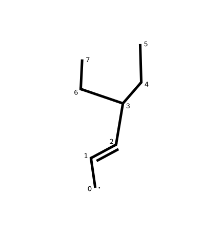 [CH2]/C=C/C(CC)CC